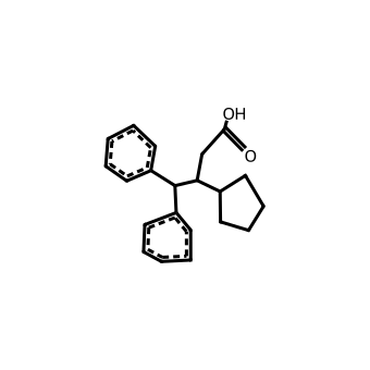 O=C(O)CC(C1CCCC1)C(c1ccccc1)c1ccccc1